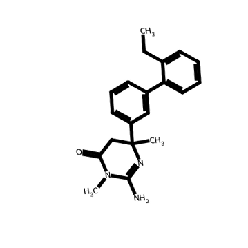 CCc1ccccc1-c1cccc(C2(C)CC(=O)N(C)C(N)=N2)c1